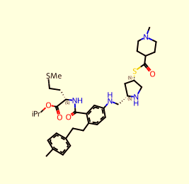 CSCC[C@H](NC(=O)c1cc(NC[C@@H]2C[C@H](SC(=O)C3CCN(C)CC3)CN2)ccc1CCc1ccc(C)cc1)C(=O)OC(C)C